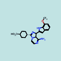 NC1=NC=CN2C([C@H]3CC[C@H](C(=O)O)CC3)=NC(c3cc4cccc(OC(F)(F)F)c4[nH]3)C12